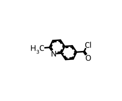 Cc1ccc2cc(C(=O)Cl)ccc2n1